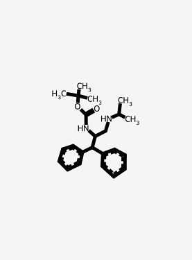 CC(C)NCC(NC(=O)OC(C)(C)C)C(c1ccccc1)c1ccccc1